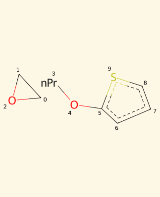 C1CO1.CCCOc1cccs1